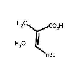 CCCC/C=C(/C)C(=O)O.O